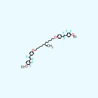 C=CC(CCCCCCOc1ccc(/C(F)=C(\F)c2ccc(OCC)c(F)c2F)cc1)CCCCCCOc1ccc(/C(F)=C(\F)c2ccc(OCC)c(F)c2F)cc1